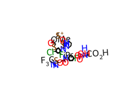 CC(C)N(C(=O)COc1nnc(C(F)(F)F)s1)c1ccc(F)cc1.COC(=O)CSc1cc(/N=c2\sc(=O)n3n2CCCC3)c(F)cc1Cl.C[S+](C)C.O=C(O)CNCP(=O)([O-])O